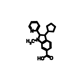 CN1c2cc(C(=O)O)ccc2C(C2CCCC2)C1c1ccccn1